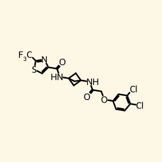 O=C(COc1ccc(Cl)c(Cl)c1)NC12CC(NC(=O)c3csc(C(F)(F)F)n3)(C1)C2